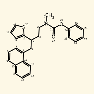 CN(CCC(Cc1cccc2ccccc12)c1cccs1)C(=O)Oc1ccccc1